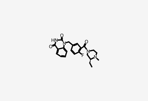 CC[C@H]1CN(C(=O)c2cc(Cn3c(=O)[nH]c(=O)c4ccccc43)ccc2F)CCN1C